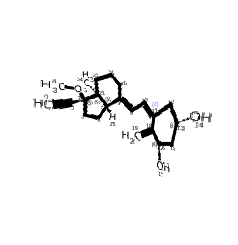 C#C[C@]1(OC)CC[C@H]2C(=C/C=C3/C[C@H](O)C[C@@H](O)C3=C)CCC[C@@]21C